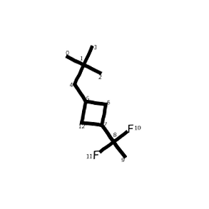 CC(C)(C)CC1CC(C(C)(F)F)C1